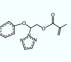 C=C(C)C(=O)OCC(Oc1ccccc1)n1nccn1